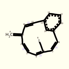 C=C1\C=C/C=C(I)/C=C\c2cccc(c2)/C=C\1